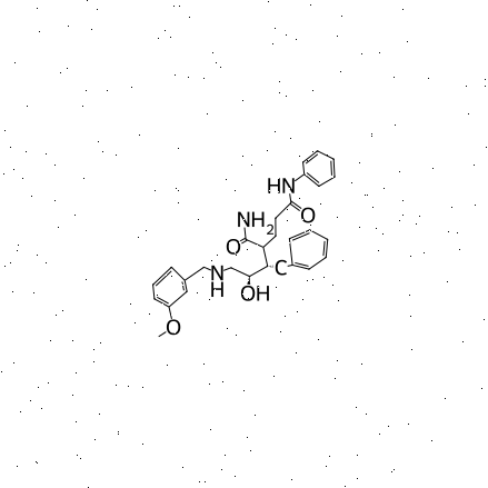 COc1cccc(CNC[C@H](O)[C@@H](Cc2ccccc2)C(CCC(=O)Nc2ccccc2)C(N)=O)c1